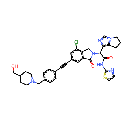 O=C(Nc1nccs1)C(c1ncn2c1CCC2)N1Cc2c(Cl)cc(C#Cc3ccc(CN4CCC(CO)CC4)cc3)cc2C1=O